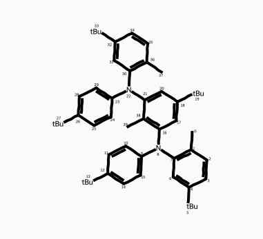 Cc1ccc(C(C)(C)C)cc1N(c1ccc(C(C)(C)C)cc1)c1cc(C(C)(C)C)cc(N(c2ccc(C(C)(C)C)cc2)c2cc(C(C)(C)C)ccc2C)c1C